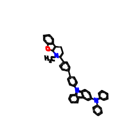 CN1C(c2ccc(-c3ccc(-n4c5ccccc5c5cc(N(c6ccccc6)c6ccccc6)ccc54)cc3)cc2)CCC2c3ccccc3OC21